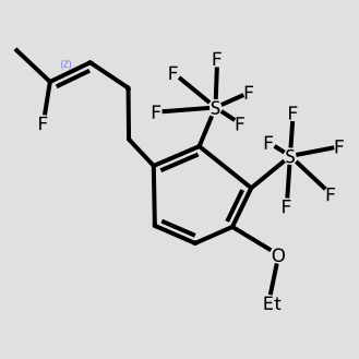 CCOc1ccc(CC/C=C(/C)F)c(S(F)(F)(F)(F)F)c1S(F)(F)(F)(F)F